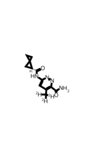 [2H]C([2H])([2H])c1cc(NC(=O)[C@@H]2CC23CC3)nnc1C(N)=O